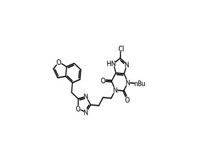 CCCCn1c(=O)n(CCCc2noc(Cc3cccc4occc34)n2)c(=O)c2[nH]c(Cl)nc21